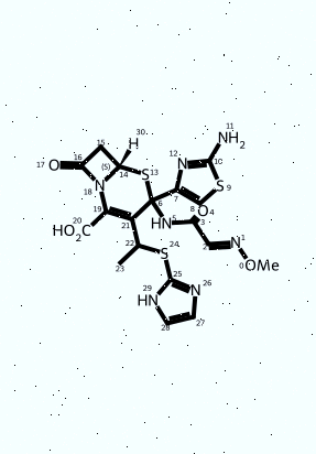 CON=CC(=O)NC1(c2csc(N)n2)S[C@H]2CC(=O)N2C(C(=O)O)=C1C(C)Sc1ncc[nH]1